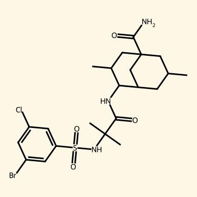 CC1CC2CC(C(N)=O)(C1)CC(C)C2NC(=O)C(C)(C)NS(=O)(=O)c1cc(Cl)cc(Br)c1